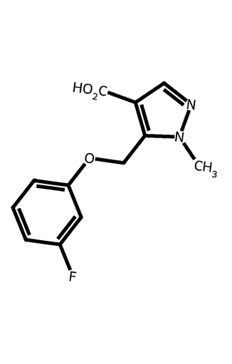 Cn1ncc(C(=O)O)c1COc1cccc(F)c1